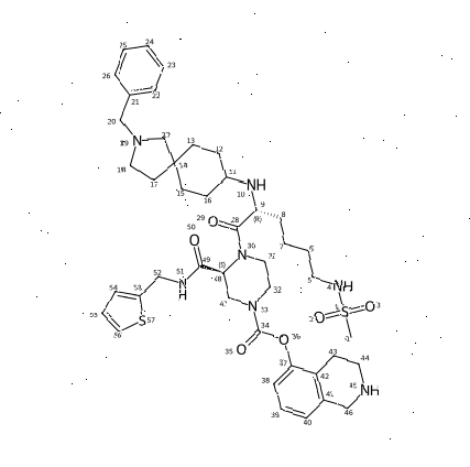 CS(=O)(=O)NCCCC[C@@H](NC1CCC2(CC1)CCN(Cc1ccccc1)C2)C(=O)N1CCN(C(=O)Oc2cccc3c2CCNC3)C[C@H]1C(=O)NCc1cccs1